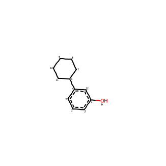 Oc1cccc(C2CCCCC2)c1